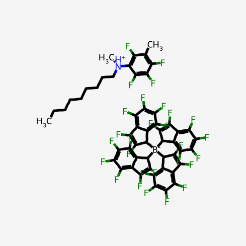 CCCCCCCCC[NH+](C)c1c(F)c(C)c(F)c(F)c1F.FC1=C(F)C([B-](C2C(F)=C(F)c3c(F)c(F)c(F)c(F)c32)(C2C(F)=C(F)c3c(F)c(F)c(F)c(F)c32)C2C(F)=C(F)c3c(F)c(F)c(F)c(F)c32)c2c(F)c(F)c(F)c(F)c21